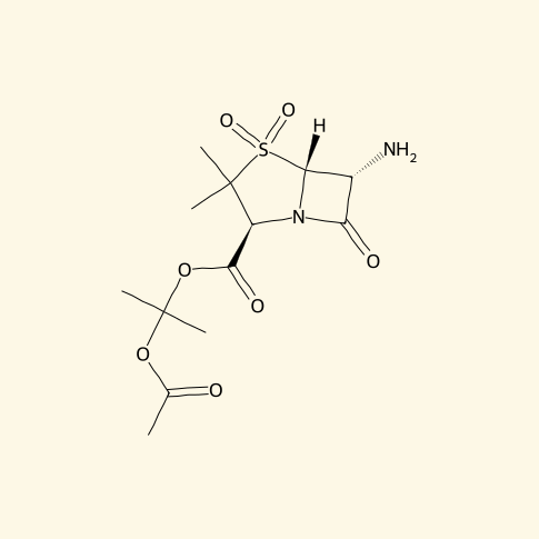 CC(=O)OC(C)(C)OC(=O)[C@@H]1N2C(=O)[C@@H](N)[C@H]2S(=O)(=O)C1(C)C